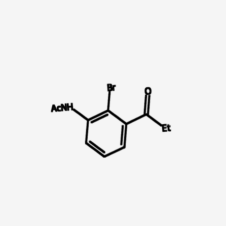 CCC(=O)c1cccc(NC(C)=O)c1Br